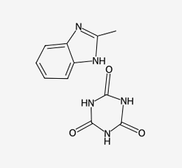 Cc1nc2ccccc2[nH]1.O=c1[nH]c(=O)[nH]c(=O)[nH]1